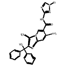 CCc1c(C(O)(c2ccccc2)c2ccccc2)nc2cc(P)c(C(=O)Nc3ncn(CC)n3)cn12